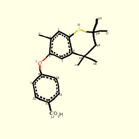 Cc1cc2c(cc1Oc1ccc(C(=O)O)cc1)C(C)(C)CC(C)(C)S2